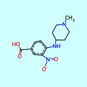 CN1CCC(Nc2ccc(C(=O)O)cc2[N+](=O)[O-])CC1